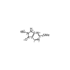 CSc1ncc2c(=O)n(C(C)(C)C)[nH]c2n1